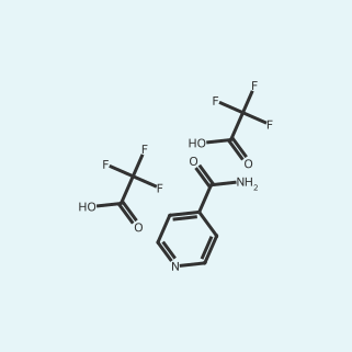 NC(=O)c1ccncc1.O=C(O)C(F)(F)F.O=C(O)C(F)(F)F